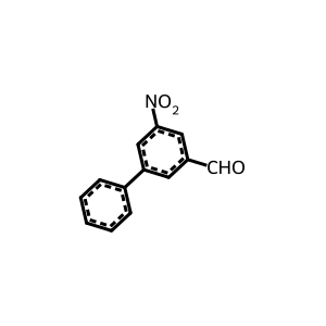 O=Cc1cc(-c2ccccc2)cc([N+](=O)[O-])c1